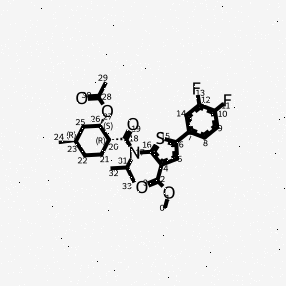 COC(=O)c1cc(-c2ccc(F)c(F)c2)sc1N(C(=O)[C@@H]1CC[C@@H](C)C[C@@H]1OC(C)=O)C(C)C